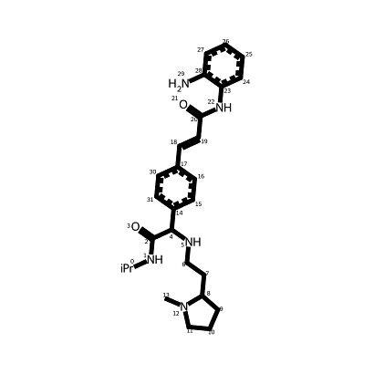 CC(C)NC(=O)C(NCCC1CCCN1C)c1ccc(C=CC(=O)Nc2ccccc2N)cc1